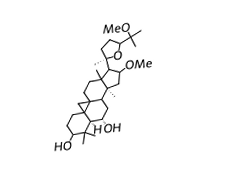 COC1C[C@@]2(C)C3C[C@H](O)[C@H]4C(C)(C)C(O)CCC45CC35CCC2(C)C1[C@@]1(C)CCC(C(C)(C)OC)O1